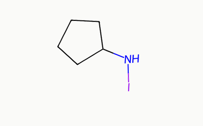 INC1CCCC1